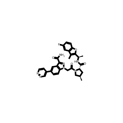 Cc1c([C@@H](C)NC(=O)[C@@H]2C[C@@H](C)CN2C(=O)Cn2nc(C(N)=O)c3cc(-c4ccnnc4)ccc32)oc2ccc(F)cc12